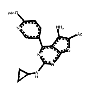 COc1ccc(-c2nc(NC3CC3)nc3sc(C(C)=O)c(N)c23)cn1